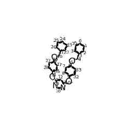 c1ccc(COc2ccc(Oc3cc(Oc4ccc(OCc5ccccc5)cc4)ncn3)cc2)cc1